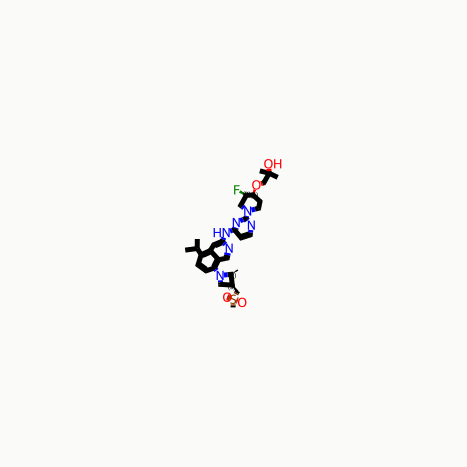 CC(C)c1ccc(N2C[C@H](CS(C)(=O)=O)[C@H]2C)c2cnc(Nc3ccnc(N4CC[C@H](OCC(C)(C)O)[C@H](F)C4)n3)cc12